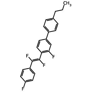 CCCc1ccc(-c2ccc(/C(F)=C(\F)c3ccc(F)cc3)c(F)c2)cc1